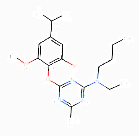 CCCCN(CC)c1nc(C)nc(Oc2c(Br)cc(C(C)C)cc2OC)n1